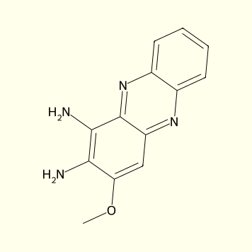 COc1cc2nc3ccccc3nc2c(N)c1N